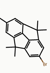 CCc1cc2c3c(c1)C(C)(C)c1cc(Br)cc(c1-3)C2(C)C